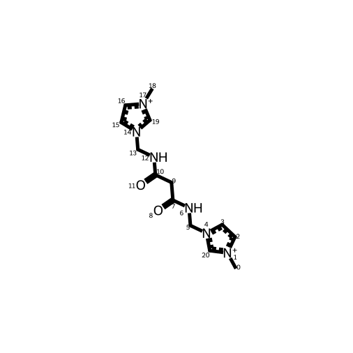 C[n+]1ccn(CNC(=O)CC(=O)NCn2cc[n+](C)c2)c1